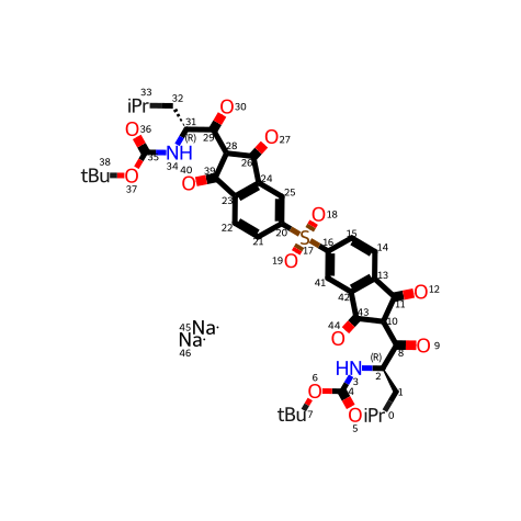 CC(C)C[C@@H](NC(=O)OC(C)(C)C)C(=O)C1C(=O)c2ccc(S(=O)(=O)c3ccc4c(c3)C(=O)C(C(=O)[C@@H](CC(C)C)NC(=O)OC(C)(C)C)C4=O)cc2C1=O.[Na].[Na]